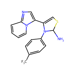 NC1SC=C(c2cnc3ccccn23)N1c1ccc(C(F)(F)F)cc1